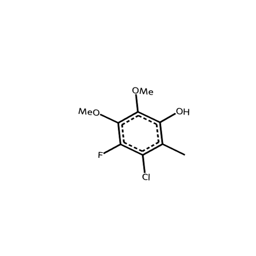 COc1c(O)c(C)c(Cl)c(F)c1OC